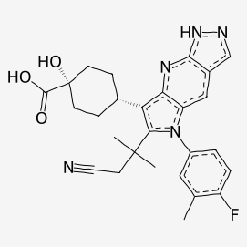 Cc1cc(-n2c(C(C)(C)CC#N)c([C@H]3CC[C@](O)(C(=O)O)CC3)c3nc4[nH]ncc4cc32)ccc1F